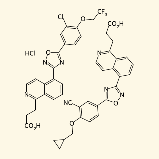 Cl.N#Cc1cc(-c2nc(-c3cccc4c(CCC(=O)O)nccc34)no2)ccc1OCC1CC1.O=C(O)CCc1nccc2c(-c3noc(-c4ccc(OCC(F)(F)F)c(Cl)c4)n3)cccc12